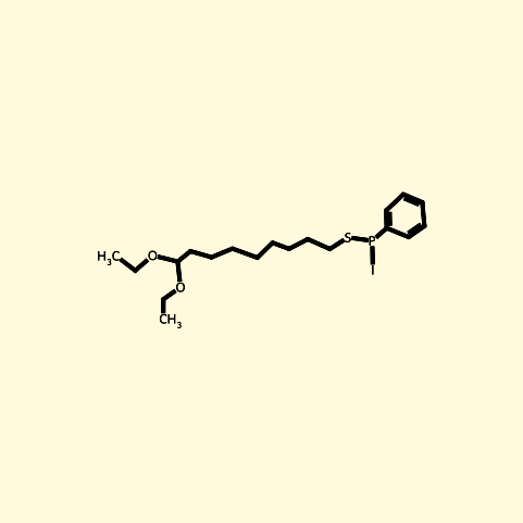 CCOC(CCCCCCCCSP(I)c1ccccc1)OCC